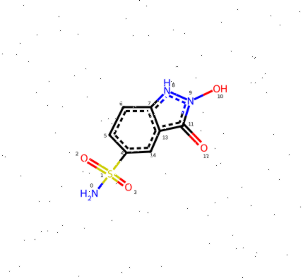 NS(=O)(=O)c1ccc2[nH]n(O)c(=O)c2c1